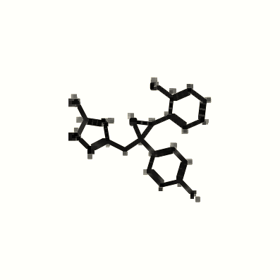 Fc1ccc(C2(Cc3n[nH]c(S)n3)OC2c2ccccc2Cl)cc1